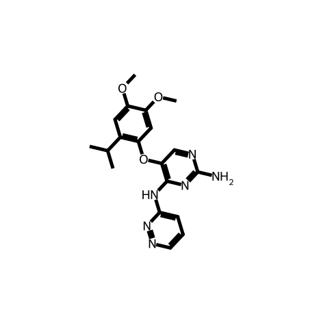 COc1cc(Oc2cnc(N)nc2Nc2cccnn2)c(C(C)C)cc1OC